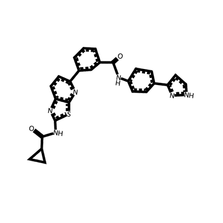 O=C(Nc1ccc(-c2cc[nH]n2)cc1)c1cccc(-c2ccc3nc(NC(=O)C4CC4)sc3n2)c1